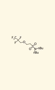 CCCCN(CCCC)S(=O)(=O)CCOCC(F)(F)C(F)(F)F